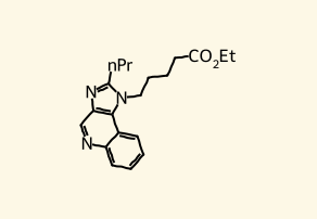 CCCc1nc2cnc3ccccc3c2n1CCCCC(=O)OCC